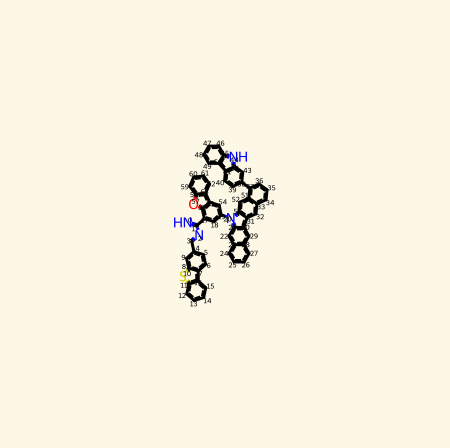 N=C(/N=C/c1ccc2c(c1)sc1ccccc12)c1cc(-n2c3cc4ccccc4cc3c3cc4cccc(-c5ccc6c(c5)[nH]c5ccccc56)c4cc32)cc2c1oc1ccccc12